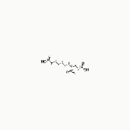 O=C(O)CCCCCCC(CCC(=O)O)[N+](=O)[O-]